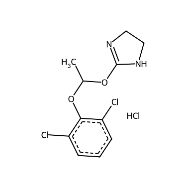 CC(OC1=NCCN1)Oc1c(Cl)cccc1Cl.Cl